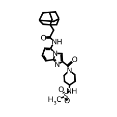 CS(=O)(=O)NC1CCN(C(=O)c2cn3c(NC(=O)CC45CC6CC(CC(C6)C4)C5)cccc3n2)CC1